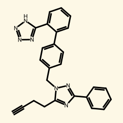 C#CCCc1nc(-c2ccccc2)nn1Cc1ccc(-c2ccccc2-c2nnn[nH]2)cc1